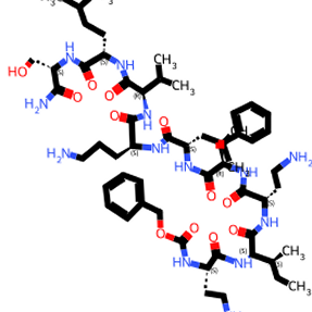 CC[C@H](C)[C@H](NC(=O)[C@H](CCN)NC(=O)OCc1ccccc1)C(=O)N[C@@H](CCN)C(=O)N[C@H](Cc1ccccc1)C(=O)N[C@@H](CC(C)C)C(=O)N[C@@H](CCCN)C(=O)N[C@@H](C(=O)N[C@@H](CCC(C)C)C(=O)N[C@@H](CO)C(N)=O)C(C)C